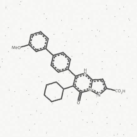 COc1cccc(-c2ccc(-c3[nH]c4cc(C(=O)O)nn4c(=O)c3C3CCCCC3)cc2)c1